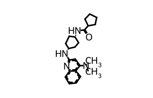 CN(C)c1cc(N[C@H]2CC[C@@H](NC(=O)C3CCCC3)CC2)nc2ccccc12